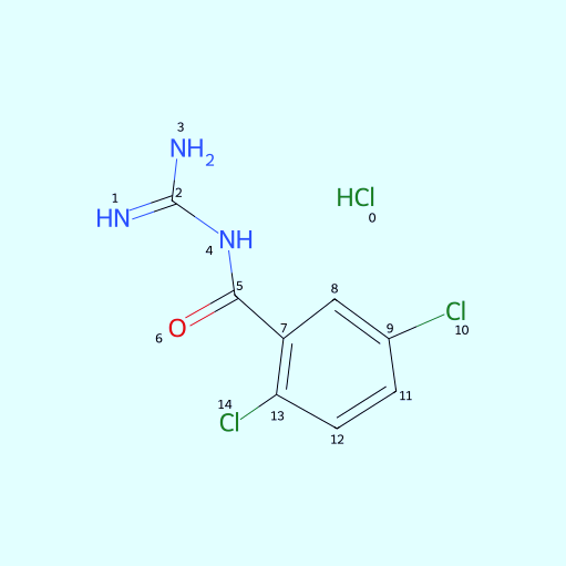 Cl.N=C(N)NC(=O)c1cc(Cl)ccc1Cl